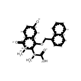 CN(C(=O)O)c1c(OCc2cccc3ccccc23)c2cc(Cl)ccc2c(=O)n1C